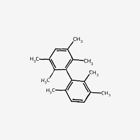 Cc1ccc(C)c(-c2c(C)c(C)cc(C)c2C)c1C